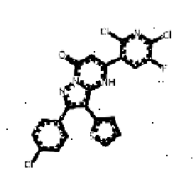 O=c1cc(-c2cc(F)c(Cl)nc2Cl)[nH]c2c(-c3cccs3)c(-c3ccc(Cl)cc3)nn12